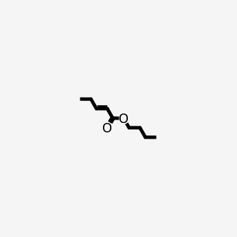 CCC=CC(=O)OCCCC